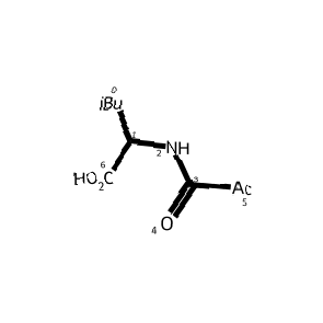 CCC(C)C(NC(=O)C(C)=O)C(=O)O